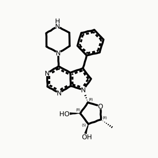 C[C@H]1O[C@@H](n2cc(-c3ccccc3)c3c(N4CCNCC4)ncnc32)[C@H](O)[C@@H]1O